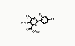 CCc1ccc(-c2nc(N)c(OC)c(C(=O)OC)n2)c(F)c1